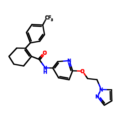 O=C(Nc1ccc(OCCn2cccn2)nc1)C1=C(c2ccc(C(F)(F)F)cc2)CCCC1